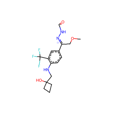 COC/C(=N\NC=O)c1ccc(NCC2(O)CCC2)c(C(F)(F)F)c1